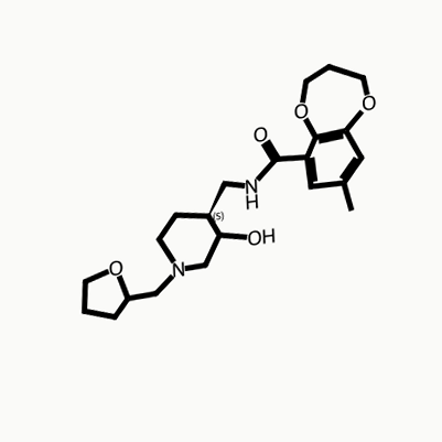 Cc1cc2c(c(C(=O)NC[C@@H]3CCN(CC4CCCO4)CC3O)c1)OCCCO2